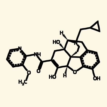 COc1cccnc1NC(=O)C1=C(O)[C@@H]2Oc3c(O)ccc4c3[C@@]23CCN(CC2CC2)[C@H](C4)[C@]3(O)C1